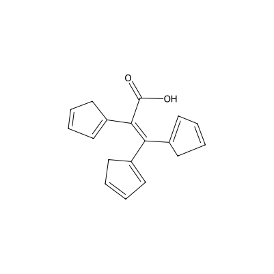 O=C(O)C(C1=CC=CC1)=C(C1=CC=CC1)C1=CC=CC1